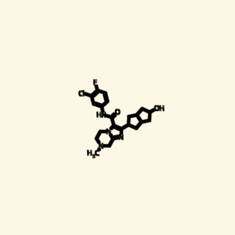 CN1CCn2c(nc(C3CC4CC(O)CC4C3)c2C(=O)Nc2ccc(F)c(Cl)c2)C1